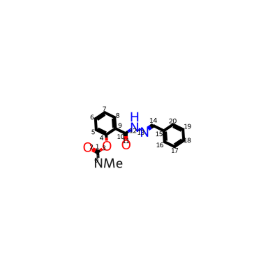 CNC(=O)Oc1ccccc1C(=O)NN=Cc1ccccc1